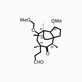 COCOC1C[C@@](C)(CCC=O)C(=O)[C@H](C)C23CC[C@@H](C)[C@]1(C)C2[C@H](OC)CC3